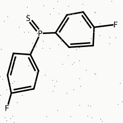 Fc1ccc([P](=S)c2ccc(F)cc2)cc1